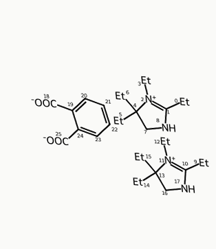 CCC1=[N+](CC)C(CC)(CC)CN1.CCC1=[N+](CC)C(CC)(CC)CN1.O=C([O-])c1ccccc1C(=O)[O-]